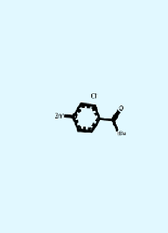 CC(C)(C)C(=O)c1cc[c]([Zn+])cc1.[Cl-]